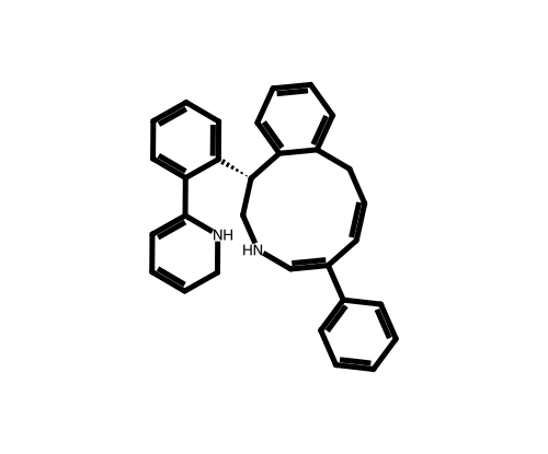 C1=CCNC(c2ccccc2[C@H]2CN/C=C(c3ccccc3)\C=C/Cc3ccccc32)=C1